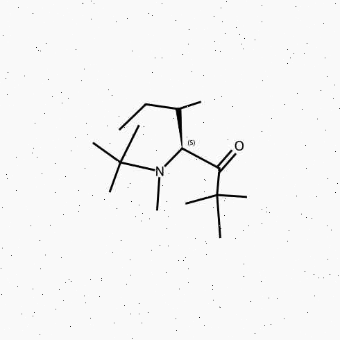 CCC(C)[C@@H](C(=O)C(C)(C)C)N(C)C(C)(C)C